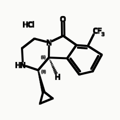 Cl.O=C1c2c(cccc2C(F)(F)F)[C@H]2[C@@H](C3CC3)NCCN12